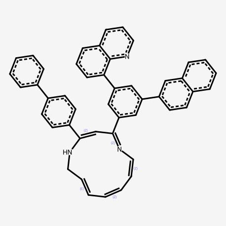 C1=C\C=C\CN/C(c2ccc(-c3ccccc3)cc2)=C\C(c2cc(-c3ccc4ccccc4c3)cc(-c3cccc4cccnc34)c2)=N\C=C/1